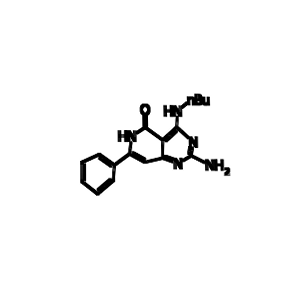 CCCCNc1nc(N)nc2cc(-c3ccccc3)[nH]c(=O)c12